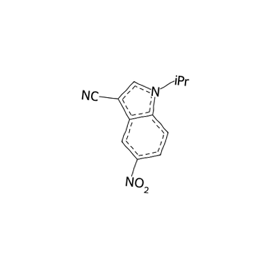 CC(C)n1cc(C#N)c2cc([N+](=O)[O-])ccc21